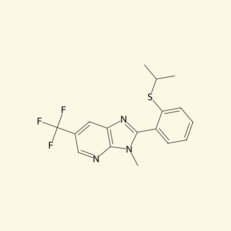 CC(C)Sc1ccccc1-c1nc2cc(C(F)(F)F)cnc2n1C